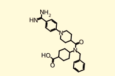 N=C(N)c1ccc(N2CCC(C(=O)N(Cc3ccccc3)C3CCC(C(=O)O)CC3)CC2)cc1